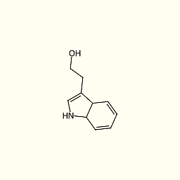 OCCC1=CNC2C=CC=CC12